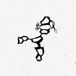 CCc1nc2cccc3c2n1-c1ccc(-c2cc(-c4ccc5ccccc5c4)cc(-c4ccc5ccccc5c4)c2)cc1S3(=O)=O